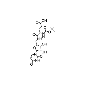 CC(C)(C)OC(=O)NC(CCC(=O)O)C(=O)NCC1OC(n2ccc(=O)[nH]c2=O)C(O)C1O